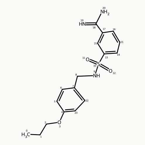 CCCOc1ccc(CNS(=O)(=O)c2cccc(C(=N)N)c2)cc1